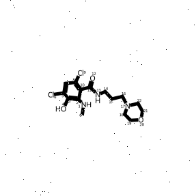 CNc1c(O)c(Cl)cc(Cl)c1C(=O)NCCCN1CCOCC1